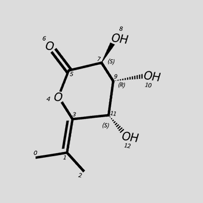 CC(C)=C1OC(=O)[C@@H](O)[C@H](O)[C@@H]1O